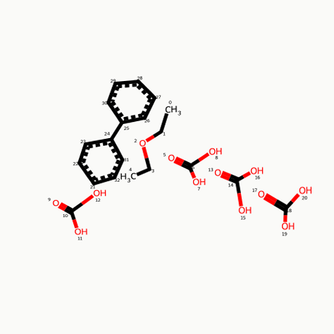 CCOCC.O=C(O)O.O=C(O)O.O=C(O)O.O=C(O)O.c1ccc(-c2ccccc2)cc1